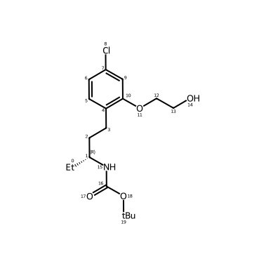 CC[C@H](CCc1ccc(Cl)cc1OCCO)NC(=O)OC(C)(C)C